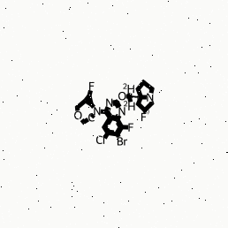 [2H]C([2H])(Oc1nc(N2CCOCC3C(F)C32)c2cc(Cl)c(Br)c(F)c2n1)[C@@]12CCCN1C[C@H](F)C2